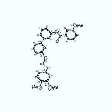 COc1cccc(C(=O)Nc2cccc(-c3cccc(OCCc4ccc(OC)c(OC)c4)n3)c2)c1